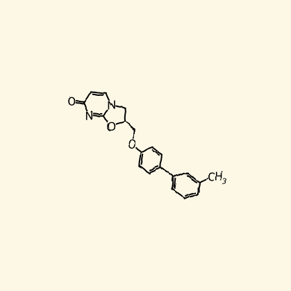 Cc1cccc(-c2ccc(OC[C@@H]3Cn4ccc(=O)nc4O3)cc2)c1